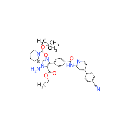 CCOC(=O)c1c(-c2ccc(C(=O)Nc3cc(-c4ccc(C#N)cc4)ccn3)cc2)nc([C@@H]2CCCCN2C(=O)OC(C)(C)C)n1N